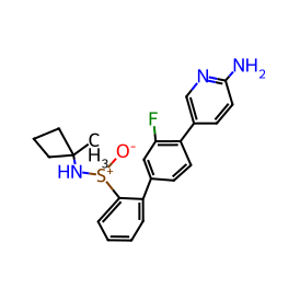 CC1(N[S+]([O-])c2ccccc2-c2ccc(-c3ccc(N)nc3)c(F)c2)CCC1